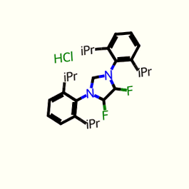 CC(C)c1cccc(C(C)C)c1N1CN(c2c(C(C)C)cccc2C(C)C)C(F)C1F.Cl